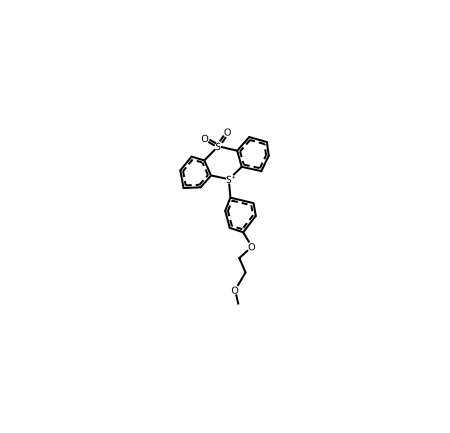 COCCOc1ccc([S+]2c3ccccc3S(=O)(=O)c3ccccc32)cc1